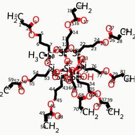 C=CC(=O)OCCC[Si]1(C)O[Si]2(CCCOC(=O)C=C)O[Si]3(CCCOC(=O)C=C)O[Si](O)(CCCOC(=O)C=C)O[Si]4(CCCOC(=O)C=C)O[Si](CCCOC(=O)C=C)(O1)O[Si](CCCOC(=O)C=C)(O2)O[Si](CCCOC(=O)C=C)(O3)O4